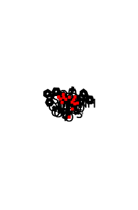 CSCC[C@H](NC(=O)[C@H](CC(=O)NC(c1ccccc1)(c1ccccc1)c1ccccc1)NC(=O)[C@@H](NC(=O)[C@@H](N)CSC(c1ccccc1)(c1ccccc1)c1ccccc1)[C@@H](C)OC(C)(C)C)C(=O)N[C@@H](CC(C)C)C(=O)N[C@@H](Cc1cn(C(=O)OC(C)(C)C)c2ccccc12)C(=O)O